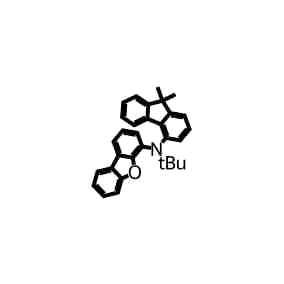 CC1(C)c2ccccc2-c2c(N(c3cccc4c3oc3ccccc34)C(C)(C)C)cccc21